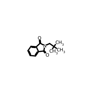 CC(C)(C)CN1C(=O)c2ccccc2C1=O